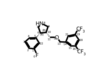 Fc1cccc([C@@H]2CNC[C@@H]2COCc2cc(C(F)(F)F)cc(C(F)(F)F)c2)c1